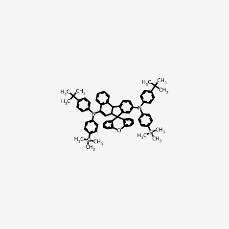 CC(C)(C)c1ccc(N(C2=CC3C(c4ccccc42)c2ccc(N(c4ccc(C(C)(C)C)cc4)c4ccc([Si](C)(C)C)cc4)cc2C32c3ccccc3Oc3ccccc32)c2ccc([Si](C)(C)C)cc2)cc1